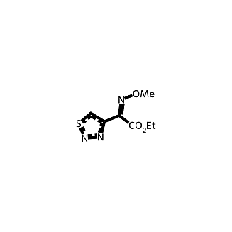 CCOC(=O)C(=NOC)c1csnn1